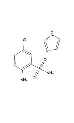 Nc1ccc(Cl)cc1S(N)(=O)=O.c1c[nH]cn1